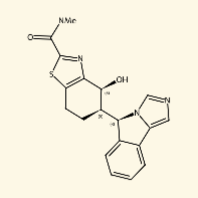 CNC(=O)c1nc2c(s1)CC[C@H]([C@@H]1c3ccccc3-c3cncn31)[C@@H]2O